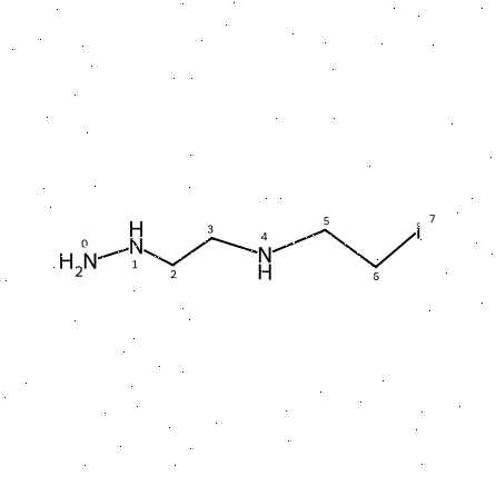 NNCCNCCI